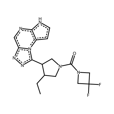 CCC1CN(C(=O)N2CC(F)(F)C2)CC1c1nnc2cnc3[nH]ccc3n12